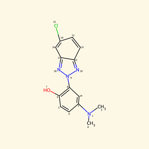 CN(C)c1ccc(O)c(-n2nc3ccc(Cl)cc3n2)c1